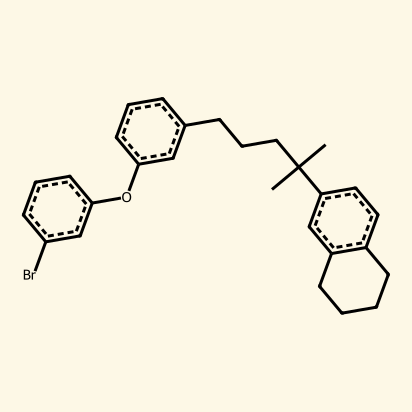 CC(C)(CCCc1cccc(Oc2cccc(Br)c2)c1)c1ccc2c(c1)CCCC2